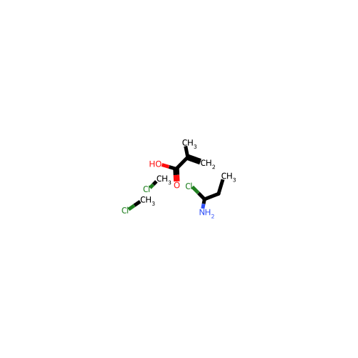 C=C(C)C(=O)O.CCC(N)Cl.CCl.CCl